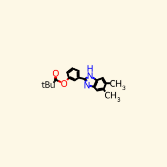 Cc1cc2nc(-c3cccc(OC(=O)C(C)(C)C)c3)[nH]c2cc1C